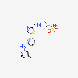 Cc1ccnc(Nc2cccc(-c3cnc(CN4CCC(NS(C)(=O)=O)CC4)s3)n2)c1